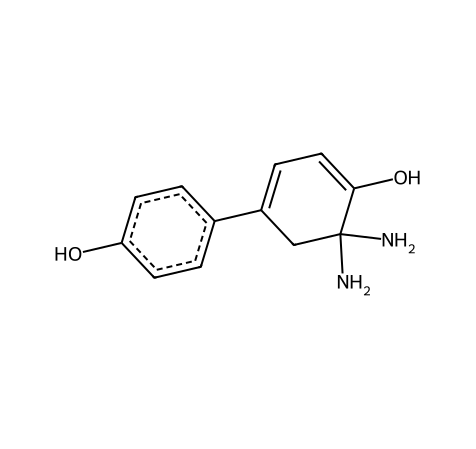 NC1(N)CC(c2ccc(O)cc2)=CC=C1O